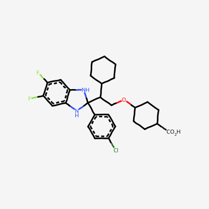 O=C(O)C1CCC(OCC(C2CCCCC2)C2(c3ccc(Cl)cc3)Nc3cc(F)c(F)cc3N2)CC1